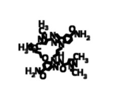 CCn1nc(C)cc1C(=O)Nc1nc2cc(C(N)=O)cc(OCCCOC)c2n1CC=CCn1c2ccc(C(N)=O)cc2c2cnc(-c3cc(C)nn3CC)nc21